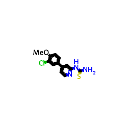 COc1ccc(-c2ccnc(NC(N)=S)c2)cc1Cl